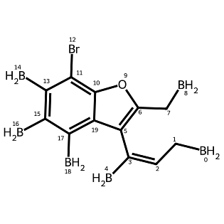 BC/C=C(/B)c1c(CB)oc2c(Br)c(B)c(B)c(B)c12